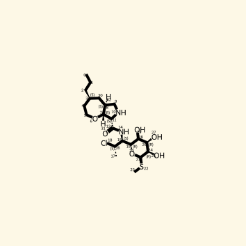 CCC[C@@H]1CCO[C@@H]2[C@H](CN[C@@H]2C(=O)N[C@H]([C@H](C)Cl)[C@H]2OC(SC)[C@H](O)[C@H](O)C2O)C1